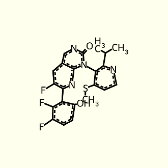 CSc1ccnc(C(C)C)c1-n1c(=O)ncc2cc(F)c(-c3c(O)ccc(F)c3F)nc21